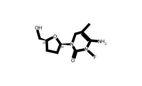 CC1=C(N)N(F)C(=O)N([C@H]2CC[C@@H](CO)O2)C1